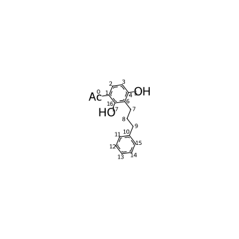 CC(=O)c1ccc(O)c(CCCc2ccccc2)c1O